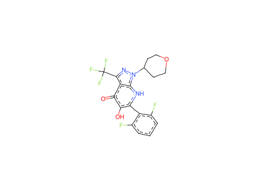 O=c1c(O)c(-c2c(F)cccc2F)[nH]c2c1c(C(F)(F)F)nn2C1CCOCC1